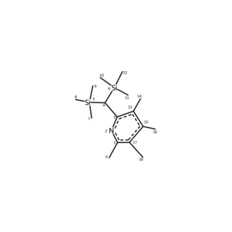 Cc1nc(C([Si](C)(C)C)[Si](C)(C)C)c(C)c(C)c1C